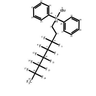 CC(C)(C)[PH](CCC(F)(F)C(F)(F)C(F)(F)C(F)(F)C(F)(F)C(F)(F)F)(c1ccccc1)c1ccccc1